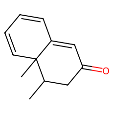 CC1CC(=O)C=C2C=CC=CC21C